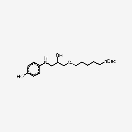 CCCCCCCCCCCCCCCOCC(O)CNc1ccc(O)cc1